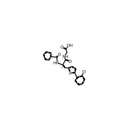 O=C(O)CNC(=O)/C(=C\c1ccc(-c2ccccc2Cl)s1)NC(=O)c1ccccc1